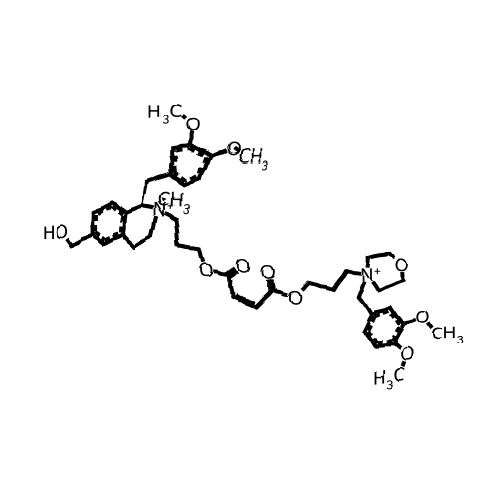 COc1ccc(C[C@@H]2c3ccc(CO)cc3CC[N@@+]2(C)CCCOC(=O)/C=C\C(=O)OCCC[N+]2(Cc3ccc(OC)c(OC)c3)CCOCC2)cc1OC